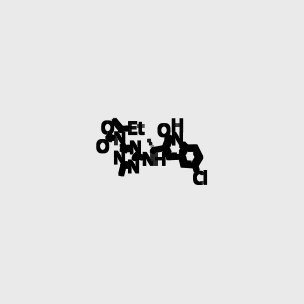 CCC1COC(=O)N1c1nc(C)nc(N[C@H](C)c2cc3cc(Cl)ccc3[nH]c2=O)n1